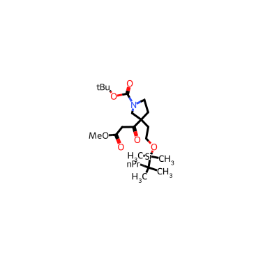 CCCC(C)(C)[Si](C)(C)OCCC1(C(=O)CC(=O)OC)CCN(C(=O)OC(C)(C)C)C1